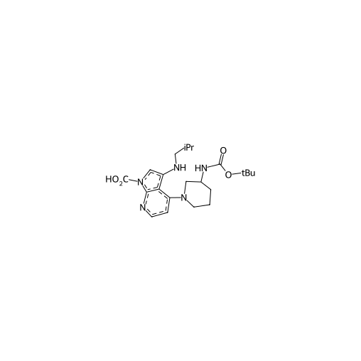 CC(C)CNc1cn(C(=O)O)c2nccc(N3CCCC(NC(=O)OC(C)(C)C)C3)c12